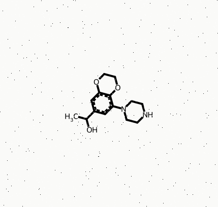 CC(O)c1cc2c(c(N3CCNCC3)c1)OCCO2